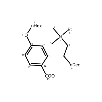 CCCCCCCCCCCC[N+](C)(C)CC.CCCCCCOc1ccc(C(=O)[O-])cc1